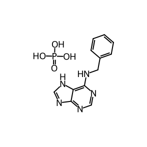 O=P(O)(O)O.c1ccc(CNc2ncnc3nc[nH]c23)cc1